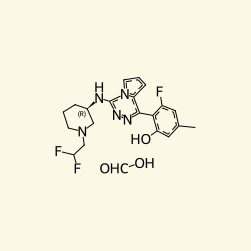 Cc1cc(O)c(-c2nnc(N[C@@H]3CCCN(CC(F)F)C3)n3cccc23)c(F)c1.O=CO